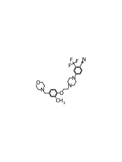 Cc1cc(CN2CCOCC2)ccc1OCCN1CCN(c2ccc(C#N)c(C(F)(F)F)c2)CC1